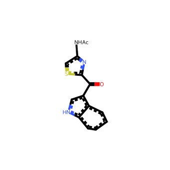 CC(=O)Nc1csc(C(=O)c2c[nH]c3ccccc23)n1